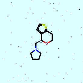 c1cc2c(s1)CCO[C@H]2CN1CCCC1